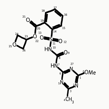 COc1nc(C)nc(NC(=O)NS(=O)(=O)c2ccccc2C(=O)OC2COC2)n1